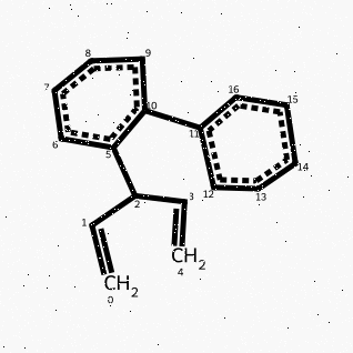 C=CC(C=C)c1ccccc1-c1ccccc1